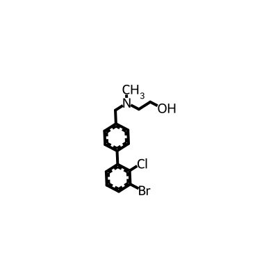 CN(CCO)Cc1ccc(-c2cccc(Br)c2Cl)cc1